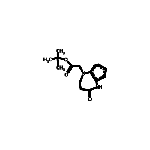 CC(C)(C)OC(=O)CN1CCC(=O)Nc2ccccc21